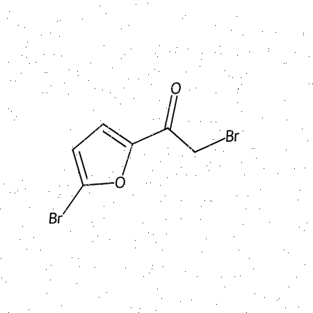 O=C(CBr)c1ccc(Br)o1